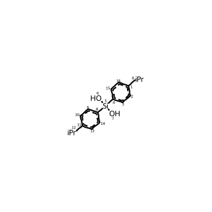 CC(C)c1ccc([Si](O)(O)c2ccc(C(C)C)cc2)cc1